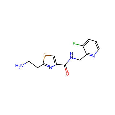 NCCc1nc(C(=O)NCc2ncccc2F)cs1